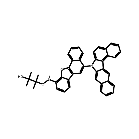 CC(C)(O)C(C)(C)OBc1cccc2c1oc1c3ccccc3c(-n3c4cc5ccccc5cc4c4c5ccccc5ccc43)cc21